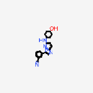 N#Cc1cccc(-c2cnc3ccc(N[C@H]4CC[C@@H](O)CC4)nn23)c1